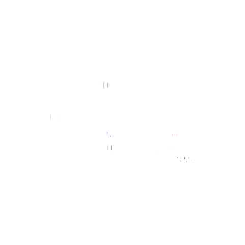 CNC(=O)OCCCN(C)c1cc(C)cc(C)c1